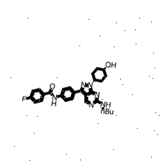 CCCCNc1ncc2c(-c3ccc(NC(=O)c4ccc(F)cc4)cc3)nn([C@H]3CC[C@H](O)CC3)c2n1